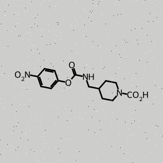 O=C(NCC1CCN(C(=O)O)CC1)Oc1ccc([N+](=O)[O-])cc1